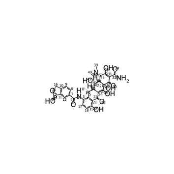 C[C@H]1c2c(NC(=O)c3ccc4c(c3)B(O)OC4)ccc(O)c2C(=O)C2=C(O)[C@]3(O)C(=O)C(C(N)=O)=C(O)[C@@H](N(C)C)[C@@H]3[C@@H](O)[C@@H]21